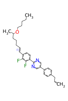 C=CCc1ccc(-c2cnc(-c3ccc(/C=C/CCCC(C)OCCCCC)c(F)c3F)nc2)cc1